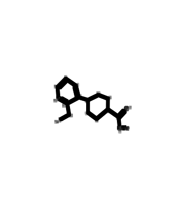 COC(=O)C1CCC(c2cccnc2CI)CC1